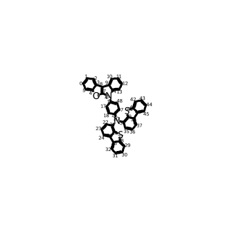 c1ccc2c(c1)oc1c2c2ccccc2n1-c1ccc(N(c2cccc3c2sc2ccccc23)c2cccc3c2sc2ccccc23)cc1